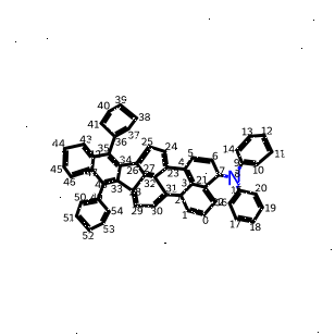 C1=CC2C3=C(C=CC(N(c4ccccc4)c4ccccc4)C3=C1)c1ccc3c4c(ccc2c14)-c1c-3c(-c2ccccc2)c2ccccc2c1-c1ccccc1